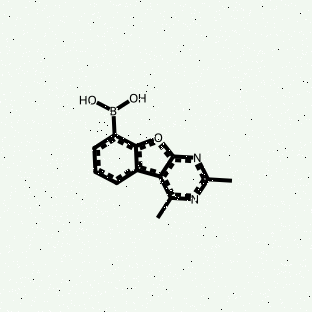 Cc1nc(C)c2c(n1)oc1c(B(O)O)cccc12